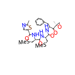 CSC[C@@H](NC(=O)c1cnc(C)s1)C(=O)N[C@H](CSC)C(=O)NC(Cc1ccccc1)C(=O)[C@@]1(C)CO1